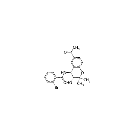 CC(=O)c1ccc2c(c1)[C@H](NC(=O)c1ccccc1Br)[C@@H](O)C(C)(C)O2